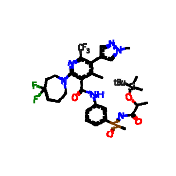 Cc1c(C(=O)Nc2cccc(S(C)(=O)=NC(=O)C(C)O[Si](C)(C)C(C)(C)C)c2)c(N2CCCC(F)(F)CC2)nc(C(F)(F)F)c1-c1cnn(C)c1